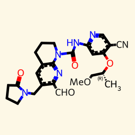 COC[C@@H](C)Oc1cc(NC(=O)N2CCCc3cc(CN4CCCC4=O)c(C=O)nc32)ncc1C#N